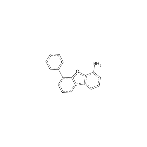 Bc1cccc2c1oc1c(-c3ccccc3)cccc12